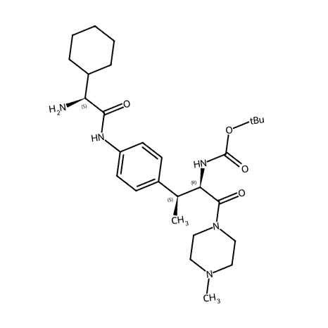 C[C@@H](c1ccc(NC(=O)[C@@H](N)C2CCCCC2)cc1)[C@@H](NC(=O)OC(C)(C)C)C(=O)N1CCN(C)CC1